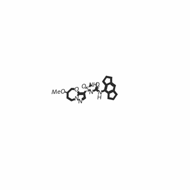 CO[C@@H]1CCn2ncc(S(N)(=O)=NC(=O)Nc3c4c(cc5c3CCC5)CCC4)c2OC1